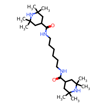 CC1(C)CC(C(=O)NCCCCCCNC(=O)C2CC(C)(C)NC(C)(C)C2)CC(C)(C)N1